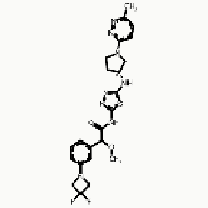 COC(C(=O)Nc1nnc(N[C@@H]2CCN(c3ccc(C)nn3)C2)s1)c1cccc(N2CC(F)(F)C2)c1